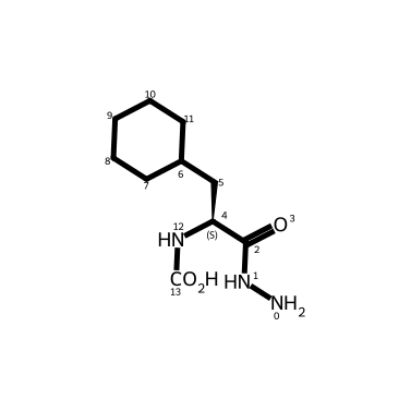 NNC(=O)[C@H](CC1CCCCC1)NC(=O)O